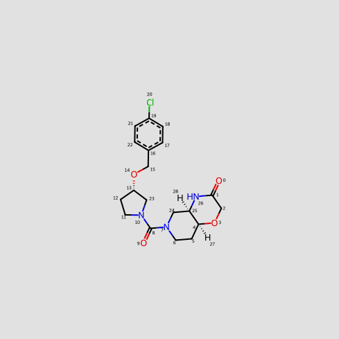 O=C1CO[C@H]2CCN(C(=O)N3CC[C@H](OCc4ccc(Cl)cc4)C3)C[C@H]2N1